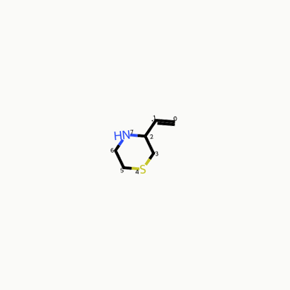 C=[C]C1CSCCN1